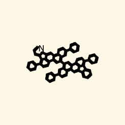 c1ccc(-c2ccc3c(c2)c(-c2cc4c5ccc(-c6ccccc6)c6c5c(cc4c4ccc(-c5ccccc5)cc24)-c2ncccc2-6)cc2c4ccc(-c5ccccc5)c5c4c(cc32)-c2ccccc2-5)cc1